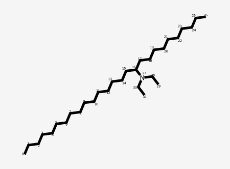 CCCCCCCCCCCCCCCCC(CCCCCCCCCC)N(CC)CC